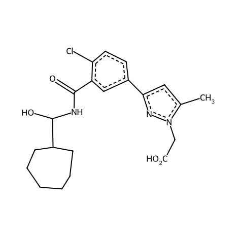 Cc1cc(-c2ccc(Cl)c(C(=O)NC(O)C3CCCCCC3)c2)nn1CC(=O)O